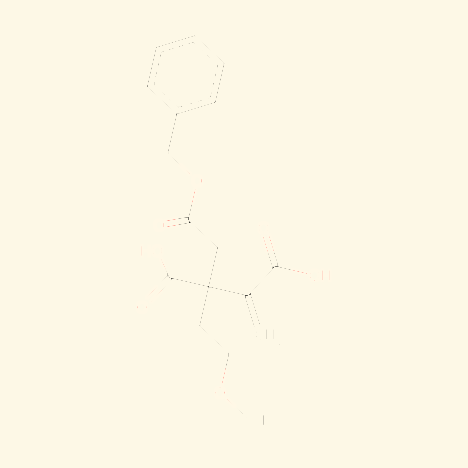 C=C(C(=O)O)C(CCOC)(CC(=O)OCc1ccccc1)C(=O)O